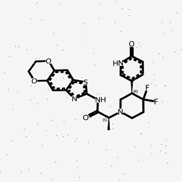 C[C@@H](C(=O)Nc1nc2cc3c(cc2s1)OCCO3)N1CCC(F)(F)[C@H](c2ccc(=O)[nH]c2)C1